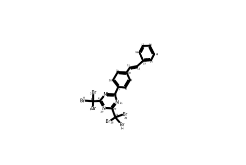 BrC(Br)(Br)c1nc(-c2ccc(C=Cc3ccccc3)cc2)nc(C(Br)(Br)Br)n1